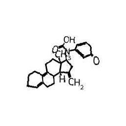 C=C1C[C@H](N(C(=O)O)C2=CC(=O)CC=C2)[C@@]2(C)CCC3=C4CCCC=C4CCC3[C@@H]12